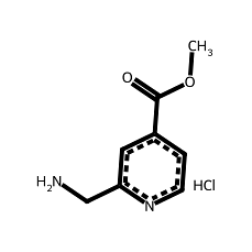 COC(=O)c1ccnc(CN)c1.Cl